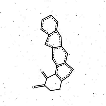 O=C1CCc2ccc3cc4cc5ccccc5cc4cc3c2C1=O